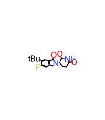 CC(C)(C)c1cc2c(cc1F)CN([C@H]1CCC(=O)NC1=O)C2=O